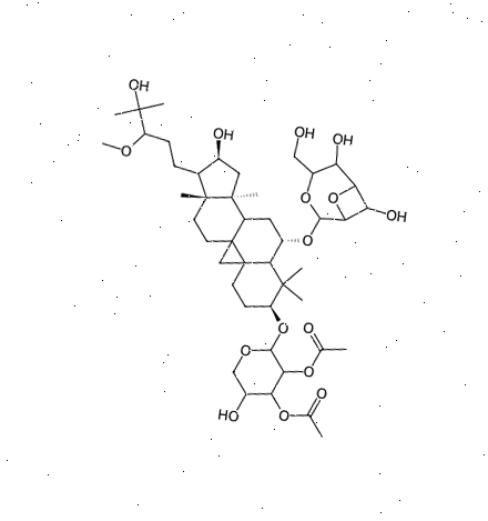 COC(CCC1[C@@H](O)C[C@@]2(C)C3C[C@H](OC4OC(CO)C(O)C5OC4C5O)C4C(C)(C)[C@@H](OC5OCC(O)C(OC(C)=O)C5OC(C)=O)CCC45CC35CC[C@]12C)C(C)(C)O